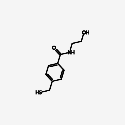 O=C(NCCO)c1ccc(CS)cc1